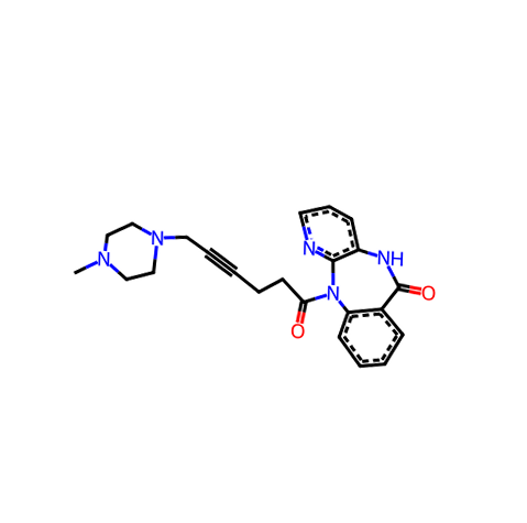 CN1CCN(CC#CCCC(=O)N2c3ccccc3C(=O)Nc3cccnc32)CC1